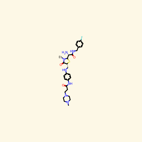 CCN1C(=O)[C@@H](CNc2ccc(NC(=O)CCN3CCN(C)CC3)cc2)SC1[C@H](N)C(=O)NCc1ccc(F)cc1